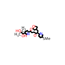 CSc1ccc(C(CC2CCOCC2)C(=O)CCC(=O)c2ccc(C(O)C(C)(C)O)cn2)nc1